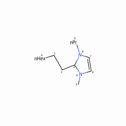 CCCCCCCCC1N(C)C=CN1CCC